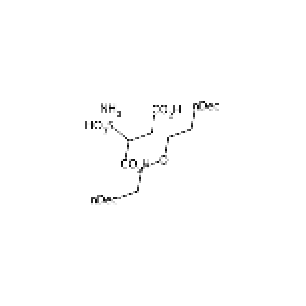 CCCCCCCCCCCCOCCCCCCCCCCCC.N.O=C(O)CC(C(=O)O)S(=O)(=O)O